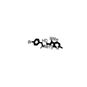 CNc1c(C(O)N[C@@H](C)Cc2ccc(Br)cc2)sc2nc(C)ccc12